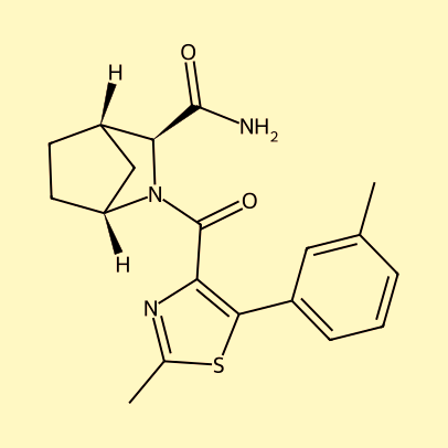 Cc1cccc(-c2sc(C)nc2C(=O)N2[C@@H]3CC[C@@H](C3)[C@H]2C(N)=O)c1